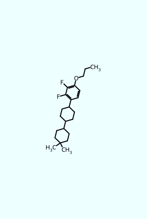 CCCOc1ccc(C2CCC(C3CCC(C)(C)CC3)CC2)c(F)c1F